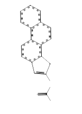 CC(=O)OC1=Cc2ccc3c(ccc4ccccc43)c2C1